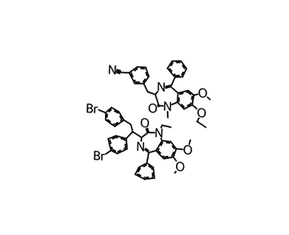 CCN1C(=O)C(C(Cc2ccc(Br)cc2)c2ccc(Br)cc2)N=C(c2ccccc2)c2cc(OC)c(OC)cc21.CCOc1cc2c(cc1OC)C(c1ccccc1)=NC(Cc1cccc(C#N)c1)C(=O)N2C